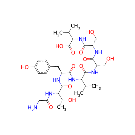 CC(C)[C@H](NC(=O)[C@H](CO)NC(=O)[C@H](CO)NC(=O)[C@@H](NC(=O)[C@H](Cc1ccc(O)cc1)NC(=O)[C@@H](NC(=O)CN)[C@@H](C)O)C(C)C)C(=O)O